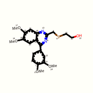 COc1ccc(-c2nc(CSCCO)nc3cc(OC)c(OC)cc23)cc1OC